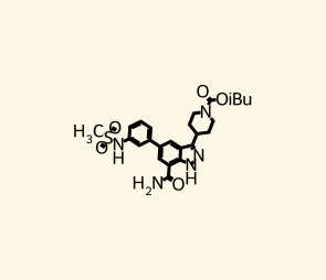 CC(C)COC(=O)N1CCC(c2n[nH]c3c(C(N)=O)cc(-c4cccc(NS(C)(=O)=O)c4)cc23)CC1